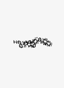 O=C(O)c1cccc(C[C@H]2COc3cc(OCc4ccc5ccccc5n4)ccc3[C@@H]2O)c1